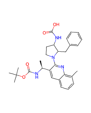 Cc1cccc2cc([C@H](C)NC(=O)OC(C)(C)C)c(N3CCC(NC(=O)O)C3Cc3ccccc3)nc12